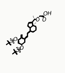 C=C1C(=CC=C2CCC[C@]3(C)C([C@H](C)OCC(=O)O)=CCC23)C[C@@H](O[Si](C)(C)C(C)(C)C)C[C@@H]1O[Si](C)(C)C(C)(C)C